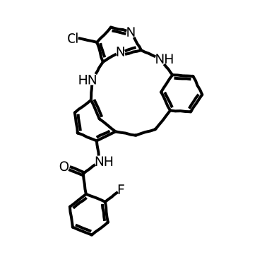 O=C(Nc1ccc2cc1CCc1cccc(c1)Nc1ncc(Cl)c(n1)N2)c1ccccc1F